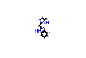 c1ccc2[nH]c(CC3=NCCN3)nc2c1